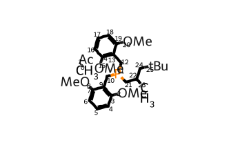 CC(C)=O.COc1cccc(OC)c1CP(Cc1c(OC)cccc1OC)CC(C)CC(C)(C)C